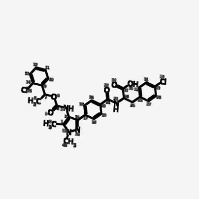 Cc1c(NC(=O)OC(C)c2ccccc2Cl)c(-c2ccc(C(=O)NC(Cc3ccc(Cl)cc3)C(=O)O)cc2)nn1C